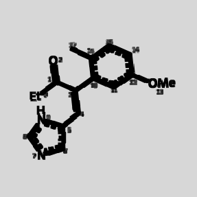 CCC(=O)/C(=C\c1cnc[nH]1)c1cc(OC)ccc1C